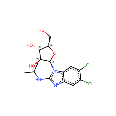 CC(C)Nc1nc2cc(Cl)c(Cl)cc2n1[C@@H]1O[C@H](CO)[C@@H](O)[C@@H]1O